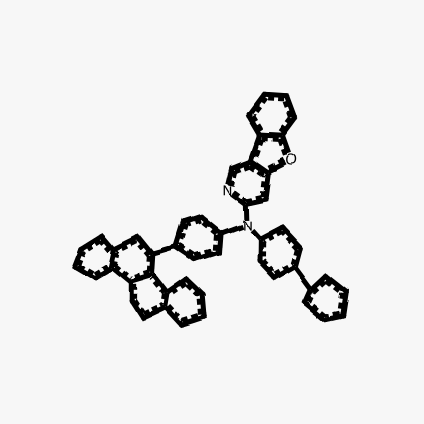 c1ccc(-c2ccc(N(c3ccc(-c4cc5ccccc5c5ccc6ccccc6c45)cc3)c3cc4oc5ccccc5c4cn3)cc2)cc1